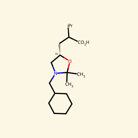 CC(C)C(C[C@H]1CN(CC2CCCCC2)C(C)(C)O1)C(=O)O